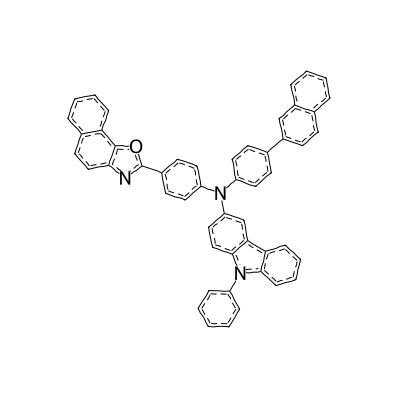 c1ccc(-n2c3ccccc3c3cc(N(c4ccc(-c5ccc6ccccc6c5)cc4)c4ccc(-c5nc6ccc7ccccc7c6o5)cc4)ccc32)cc1